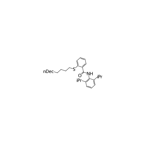 CCCCCCCCCCCCCCSc1ccccc1C(=O)Nc1c(C(C)C)cccc1C(C)C